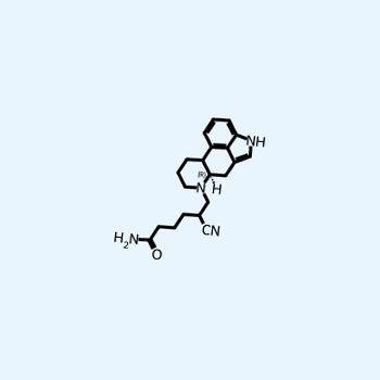 N#CC(CCCC(N)=O)CN1CCCC2c3cccc4[nH]cc(c34)C[C@H]21